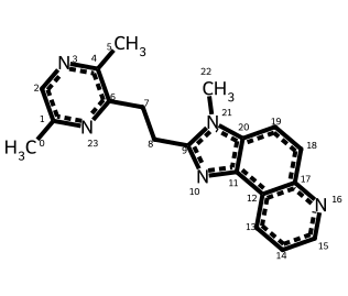 Cc1cnc(C)c(CCc2nc3c4cccnc4ccc3n2C)n1